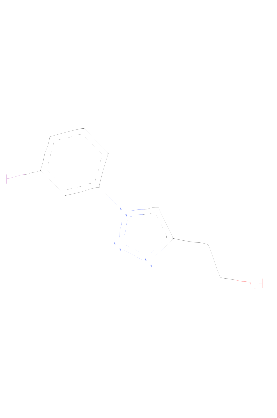 OCCc1cn(-c2cccc(I)c2)nn1